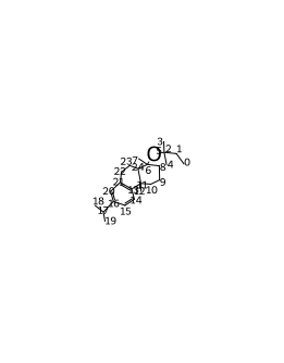 CCC(C)(C)OC1(C)CCCC2(C)c3ccc(C(C)C)cc3CCC12